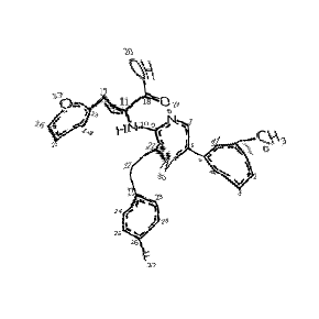 Cc1cccc(-c2cnc(N/C(=C\c3ccco3)C(=O)O)c(Cc3ccc(F)cc3)n2)c1